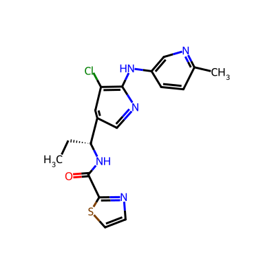 CC[C@@H](NC(=O)c1nccs1)c1cnc(Nc2ccc(C)nc2)c(Cl)c1